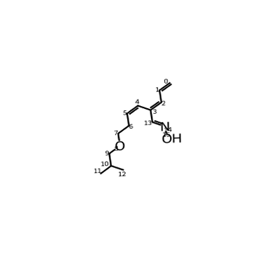 C=C/C=C(\C=C/CCOCC(C)C)/C=N/O